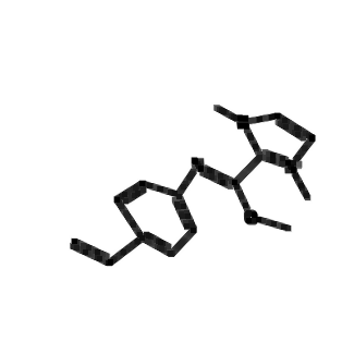 C=Cc1ccc(/N=C(\OC)c2n(C)cc[n+]2C)cc1